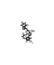 C[C@H](N)C(=O)OCn1c(-c2ccc(F)c(C(F)(F)F)c2F)csc1=NC(=O)Cc1csc2c1c(=O)n(C)c(=O)n2C.Cl